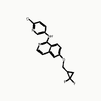 FC1(F)CC1COc1ccc2c(Nc3ccc(Cl)nc3)nccc2c1